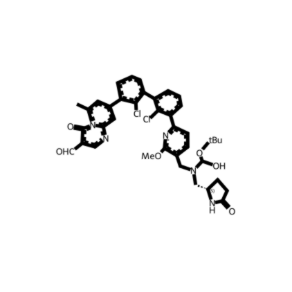 COc1nc(-c2cccc(-c3cccc(-c4cc(C)n5c(=O)c(C=O)cnc5c4)c3Cl)c2Cl)ccc1CN(C[C@@H]1CCC(=O)N1)C(O)OC(C)(C)C